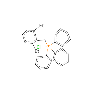 CCc1cccc(CC)c1CP(Cl)(c1ccccc1)(c1ccccc1)c1ccccc1